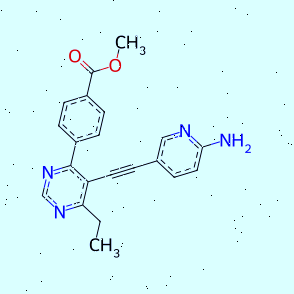 CCc1ncnc(-c2ccc(C(=O)OC)cc2)c1C#Cc1ccc(N)nc1